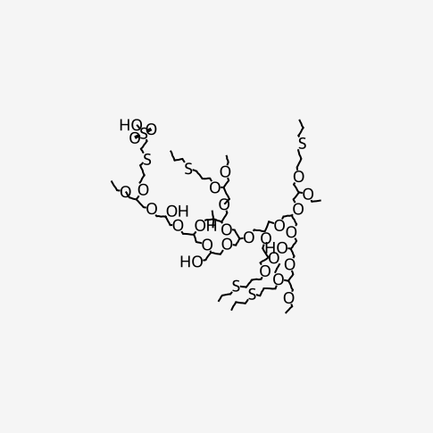 CCCSCCCOCC(COC(COCC(O)COCC(COCC)OCCCSCCC)COCC(COC(COCC(CO)OCC(O)COCC(O)COCC(COCC)OCCCSCCS(=O)(=O)O)COC(COCC(COCC)OCCCSCCC)C(C)(C)C)OCC(COCCCSCCC)OCC)OCC